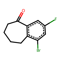 O=C1CCCCc2c(Br)cc(F)cc21